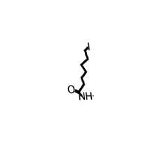 [NH]C(=O)CCCCCCI